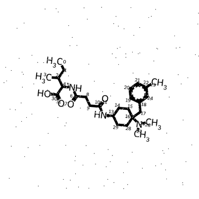 CCC(C)C(NC(=O)CCC(=O)NC1CCC(Cc2cccc(C)c2)(N(C)C)CC1)C(=O)O